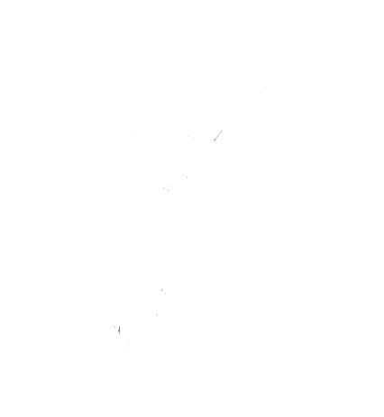 CC(C)CC[As](c1nn(-c2ccc(-c3cc4ncccn4n3)cc2)cc1C(=O)O)C(=O)[C@H]1CC[C@H](C)CC1